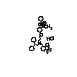 CN(c1cccc(OCCCN(Cc2cccc(C(F)(F)F)c2Cl)CC(c2ccccc2)c2ccccc2)c1)S(=O)(=O)c1ccccc1.Cl